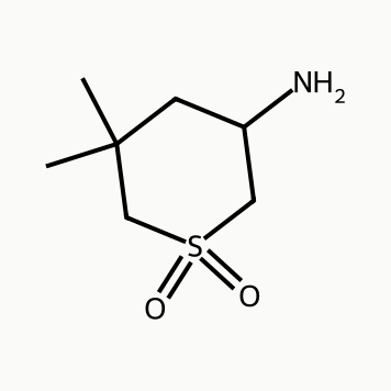 CC1(C)CC(N)CS(=O)(=O)C1